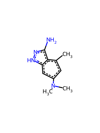 Cc1cc(N(C)C)cc2[nH]nc(N)c12